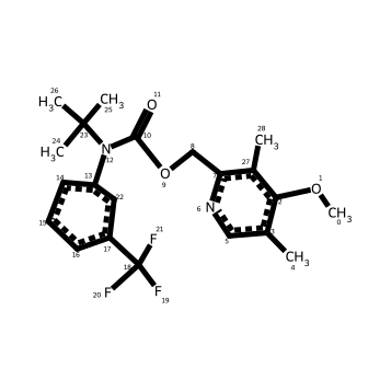 COc1c(C)cnc(COC(=O)N(c2cccc(C(F)(F)F)c2)C(C)(C)C)c1C